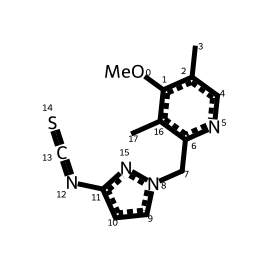 COc1c(C)cnc(Cn2ccc(N=C=S)n2)c1C